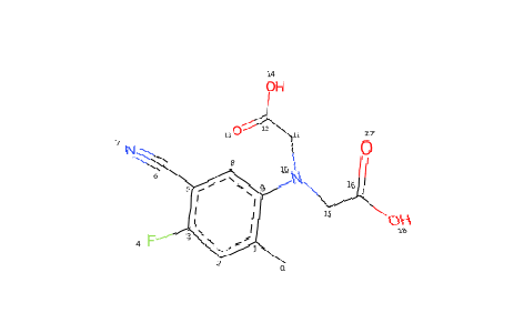 Cc1cc(F)c(C#N)cc1N(CC(=O)O)CC(=O)O